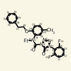 CCN(C(=O)n1nnn(-c2c(F)cccc2F)c1=O)c1cc(C)ccc1OCCc1ccccc1